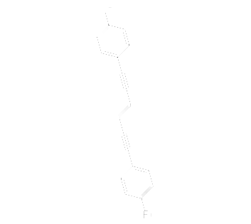 CCc1ccc(C#C/C=C/C#Cc2ccc(CC)cc2)cc1